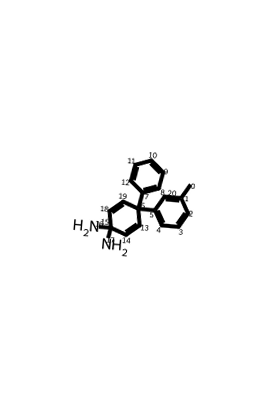 Cc1cccc(C2(c3ccccc3)C=CC(N)(N)C=C2)c1